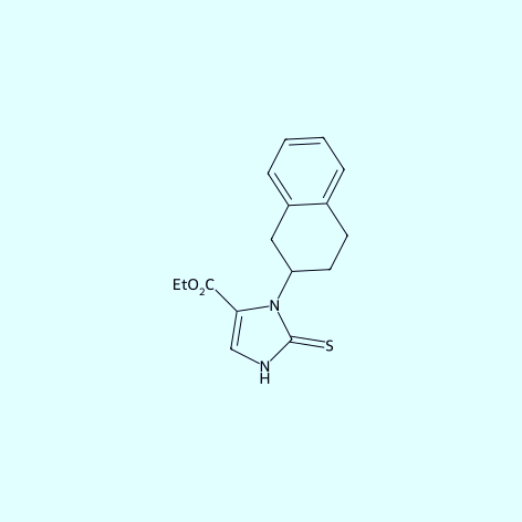 CCOC(=O)c1c[nH]c(=S)n1C1CCc2ccccc2C1